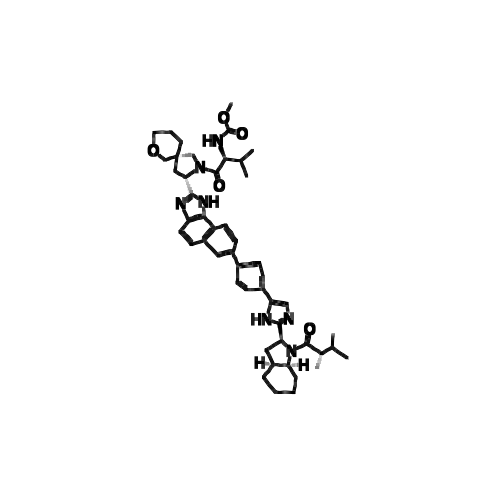 COC(=O)N[C@H](C(=O)N1C[C@]2(CCCOC2)C[C@H]1c1nc2ccc3cc(-c4ccc(-c5cnc([C@@H]6C[C@@H]7CCCC[C@@H]7N6C(=O)[C@@H](C)C(C)C)[nH]5)cc4)ccc3c2[nH]1)C(C)C